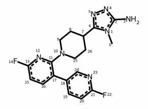 Cn1c(N)nnc1C1CCN(c2nc(F)ccc2-c2ccc(F)nc2)CC1